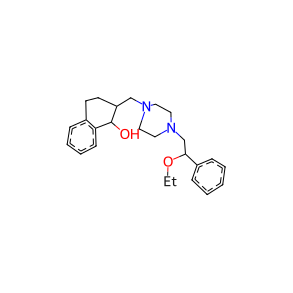 CCOC(CN1CCN(CC2CCc3ccccc3C2O)CC1)c1ccccc1